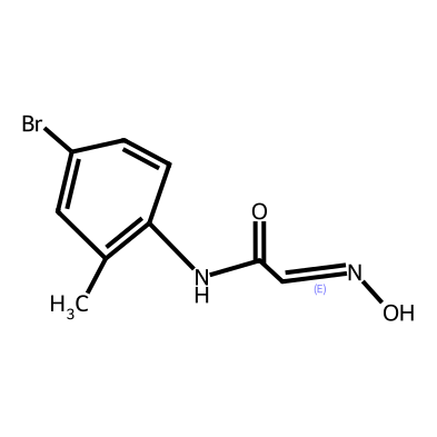 Cc1cc(Br)ccc1NC(=O)/C=N/O